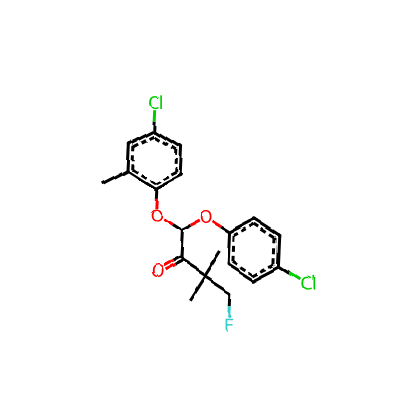 Cc1cc(Cl)ccc1OC(Oc1ccc(Cl)cc1)C(=O)C(C)(C)CF